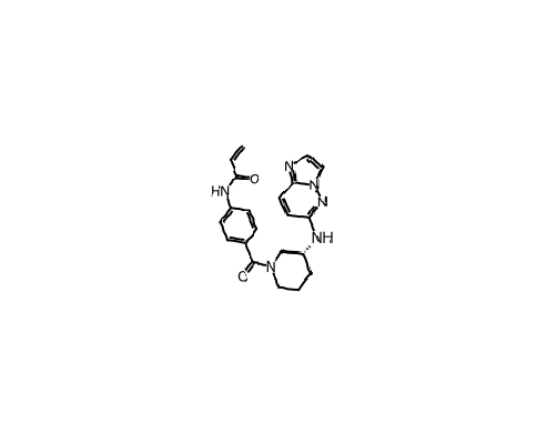 C=CC(=O)Nc1ccc(C(=O)N2CCC[C@@H](Nc3ccc4nccn4n3)C2)cc1